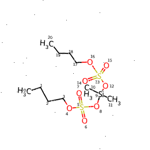 CCCCOS(=O)(=O)O[Si](C)(C)OS(=O)(=O)OCCCC